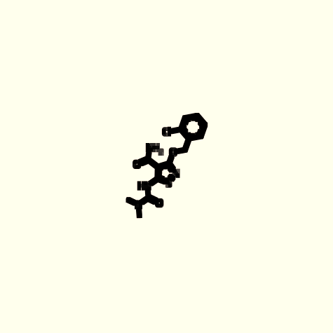 CN(C)C(=O)Nc1snc(OCc2ccccc2Cl)c1C(N)=O